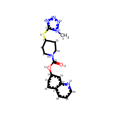 Cn1nnnc1SC1CCN(C(=O)Oc2ccc3cccnc3c2)CC1